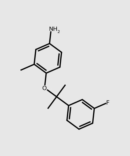 Cc1cc(N)ccc1OC(C)(C)c1cccc(F)c1